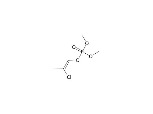 COP(=O)(OC)OC=C(C)Cl